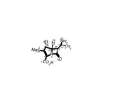 CC[C@H]1C(SC)=C(C(=O)O)N2C(=O)[C@H]([C@H](C)N)[C@@H]12